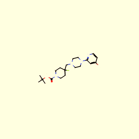 CC(C)(C)OC(=O)N1CCC(F)(CN2CCN(c3cc(Br)ccn3)CC2)CC1